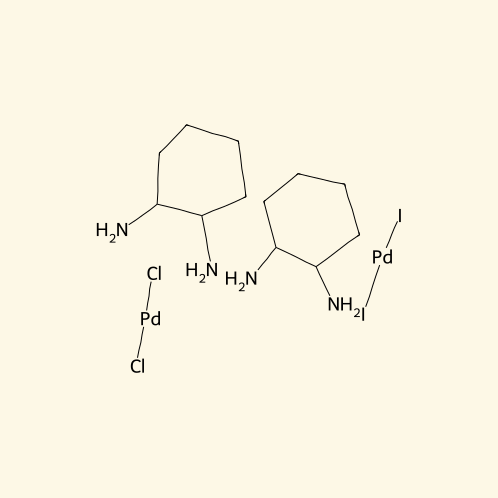 NC1CCCCC1N.NC1CCCCC1N.[Cl][Pd][Cl].[I][Pd][I]